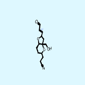 N#CCCC1CCC2OC(/C=C/C=O)CC2(CO)O1